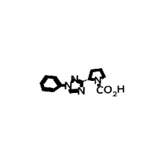 O=C(O)N1CCC[C@H]1c1ncn(-c2ccccc2)n1